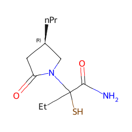 CCC[C@@H]1CC(=O)N(C(S)(CC)C(N)=O)C1